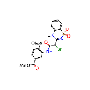 COC(=O)c1ccc(OC)c(NC(=O)C(Br)C2=NS(=O)(=O)c3ccccc3N2C)c1